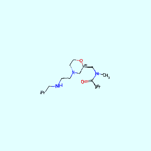 CC(C)CNCCN1CCO[C@@H](CN(C)C(=O)C(C)C)C1